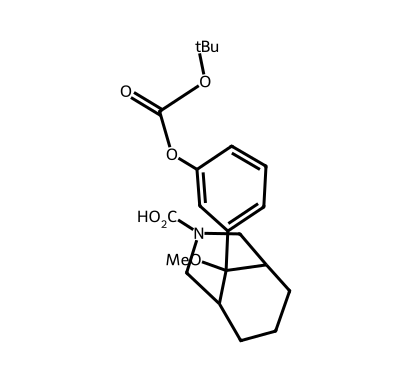 COC1(c2cccc(OC(=O)OC(C)(C)C)c2)C2CCCC1CN(C(=O)O)C2